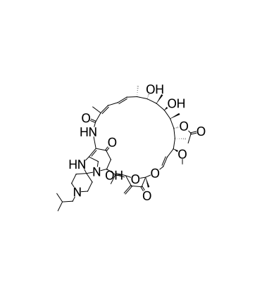 C=C1C(=O)[C@@]2(C)O/C=C/[C@H](OC)[C@@H](C)[C@@H](OC(C)=O)[C@H](C)[C@H](O)[C@H](C)[C@@H](O)[C@@H](C)/C=C/C=C(/C)C(=O)NC3=C4CN(C5(CCN(CC(C)C)CC5)N4)C(O)(CC3=O)/C(C)=C\1O2